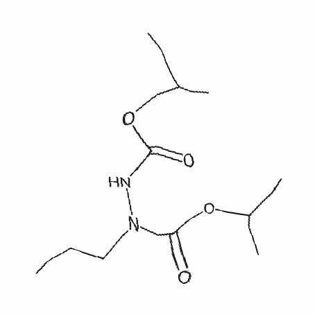 CCCN(NC(=O)OC(C)C)C(=O)OC(C)C